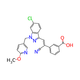 COc1ccc(Cn2nc(C=C(C#N)c3cccc(C(=O)O)c3)c3ccc(Cl)cc32)cn1